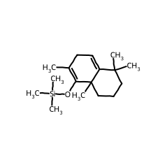 CC1=C(O[Si](C)(C)C)C2(C)CCCC(C)(C)C2=CC1